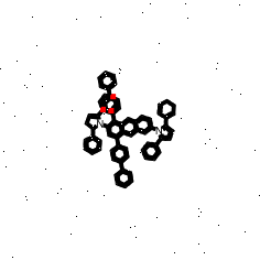 C1=CCCC(C2=CCC(c3ccccc3)N2c2cc(-c3ccc(-c4ccccc4)cc3)c3cc4cc(-n5c(C6=CCCC=C6)ccc5-c5ccccc5)ccc4cc3c2-c2ccc(-c3ccccc3)cc2)=C1